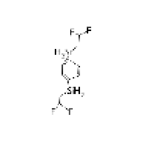 FC(F)C[SiH2]c1ccc([SiH2]CC(F)F)cc1